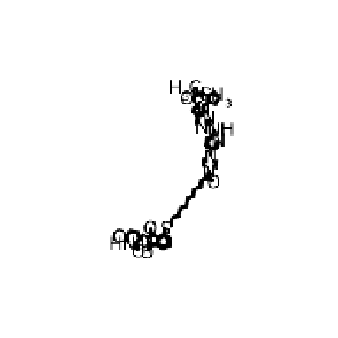 CN(C)C(=O)c1cc2cnc(Nc3ccc(N4CCN(C(=O)CCCCCCCCCCSc5cccc6c5C(=O)N(C5CCC(=O)NC5=O)C6=O)CC4)cn3)nc2n1C1CCCC1